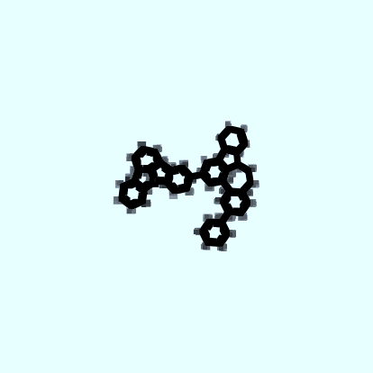 C1=CC2=C(CC1)c1cc(-c3ccc4c(c3)c3cccc5c6ccccc6n4c53)cc3c1C2CCc1ccc(-c2ccccc2)cc1-3